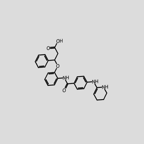 O=C(O)CC(Oc1ccccc1NC(=O)c1ccc(NC2=CCCCN2)cc1)c1ccccc1